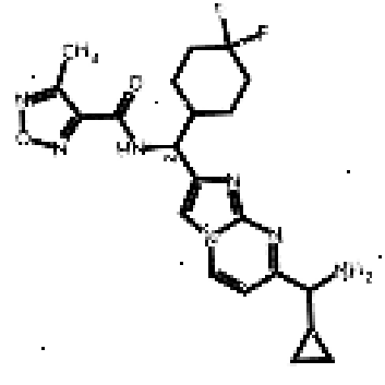 Cc1nonc1C(=O)N[C@H](c1cn2ccc(C(N)C3CC3)nc2n1)C1CCC(F)(F)CC1